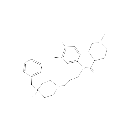 CC(=O)N1CCC(C(=O)N(CCCN2CCC(C#N)(Cc3ccccc3)CC2)c2ccc(Cl)c(Cl)c2)CC1